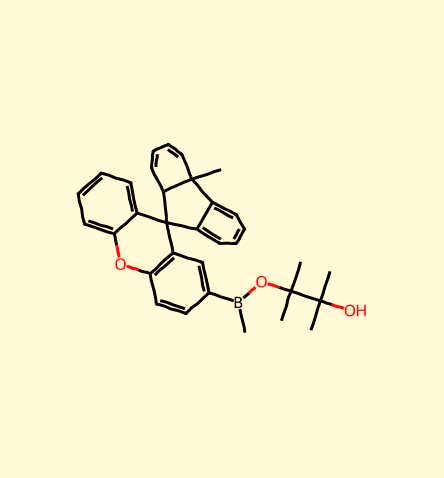 CB(OC(C)(C)C(C)(C)O)c1ccc2c(c1)C1(c3ccccc3O2)c2ccccc2C2(C)C=CC=CC21